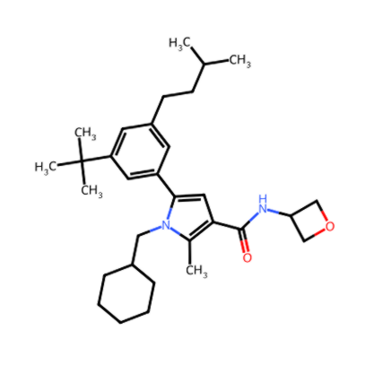 Cc1c(C(=O)NC2COC2)cc(-c2cc(CCC(C)C)cc(C(C)(C)C)c2)n1CC1CCCCC1